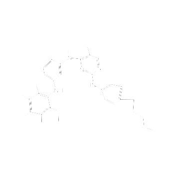 COCCCc1ccc(Nc2ncc(F)c(Nc3cccc(Nc4c(F)c(F)c(F)c(F)c4SC)c3)n2)cc1